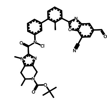 Cc1c(-c2cccc(N(Cl)C(=O)c3nc4c(n3C)CC(C)N(C(=O)OC(C)(C)C)C4)c2)cccc1-c1nc2cc(C=O)cc(C#N)c2o1